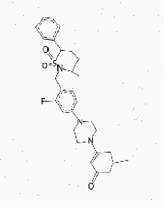 CC1CC(=O)C=C(N2CCN(c3ccc(CN4C(C)CCC(c5ccccc5)S4(=O)=O)c(F)c3)CC2)C1